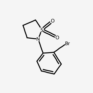 O=S1(=O)CCCN1c1ccccc1Br